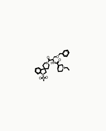 CCN1CCC=C(C(=O)N[C@H](COCc2ccccc2)C(=O)N2CCC3(CC2)CN(S(C)(=O)=O)c2ccccc23)C1